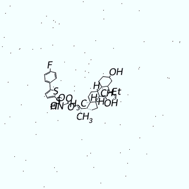 CC[C@@H]1C2C[C@H](O)CC[C@]2(C)[C@H]2CC[C@]3(C)[C@@H]([C@H](C)COC(=O)NS(=O)(=O)c4ccc(-c5ccc(F)cc5)s4)CC[C@H]3[C@@H]2[C@@H]1O